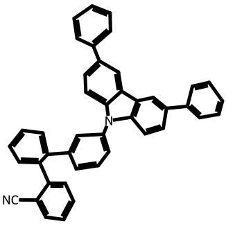 N#Cc1ccccc1-c1ccccc1-c1cccc(-n2c3ccc(-c4ccccc4)cc3c3cc(-c4ccccc4)ccc32)c1